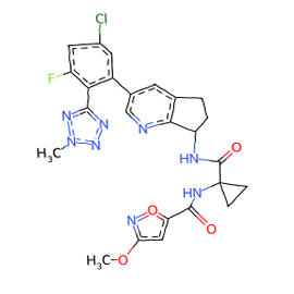 COc1cc(C(=O)NC2(C(=O)NC3CCc4cc(-c5cc(Cl)cc(F)c5-c5nnn(C)n5)cnc43)CC2)on1